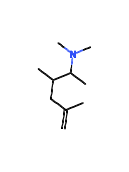 C=C(C)CC(C)C(C)N(C)C